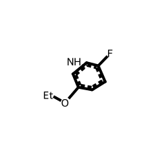 CCOc1ccc(F)cc1.N